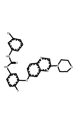 O=C(Nc1cccc(Cl)c1)Nc1ccc(F)c(Oc2ccc3ncc(N4CCOCC4)nc3c2)c1